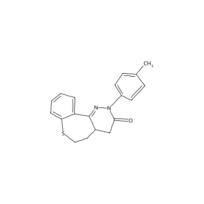 Cc1ccc(N2N=C3c4ccccc4SCCC3CC2=O)cc1